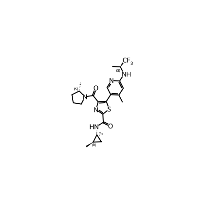 Cc1cc(N[C@@H](C)C(F)(F)F)ncc1-c1sc(C(=O)N[C@@H]2C[C@H]2C)nc1C(=O)N1CCC[C@@H]1C